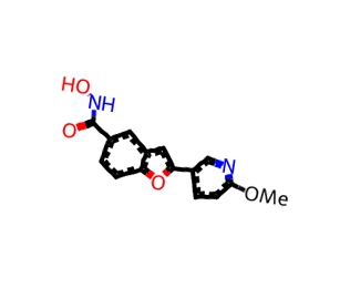 COc1ccc(-c2cc3cc(C(=O)NO)ccc3o2)cn1